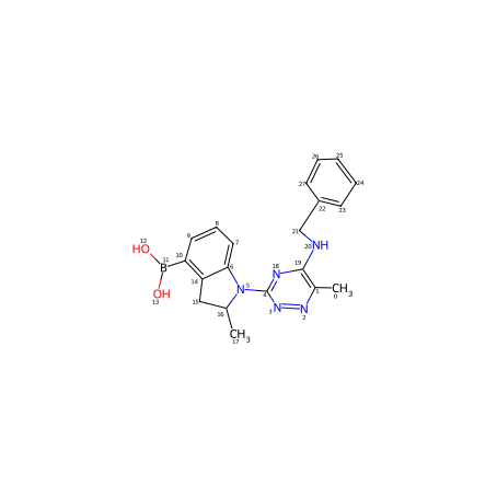 Cc1nnc(N2c3cccc(B(O)O)c3CC2C)nc1NCc1ccccc1